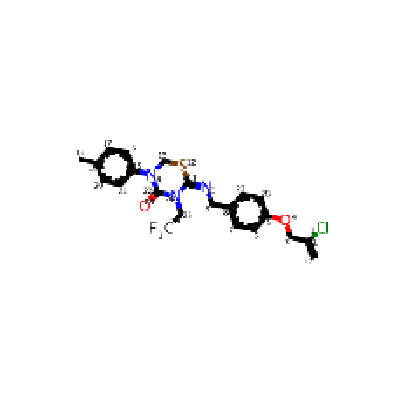 C=C(Cl)COc1ccc(CN=C2SCN(c3ccc(C)cc3)C(=O)N2CC(F)(F)F)cc1